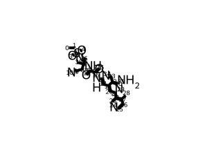 CCS(=O)(=O)N1CC(CC#N)(NC(=O)C(=O)Nc2cc3cc(-c4cnccc4C)nc(N)c3cn2)C1